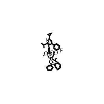 COP(=O)(C#Cc1c(-c2ccc(F)cc2)cc(C2CC2)nc1C(C)C)C[C@H](CC(=O)O)O[Si](c1ccccc1)(c1ccccc1)C(C)(C)C